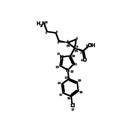 NCCC[C@H]1C[C@]1(C(=O)O)c1cn(-c2ccc(Cl)cc2)cn1